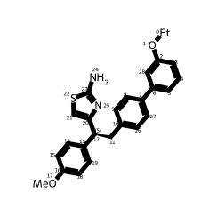 CCOc1cccc(-c2ccc(C[C@@H](c3ccc(OC)cc3)c3csc(N)n3)cc2)c1